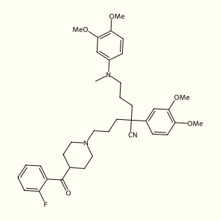 COc1ccc(N(C)CCCC(C#N)(CCCN2CCC(C(=O)c3ccccc3F)CC2)c2ccc(OC)c(OC)c2)cc1OC